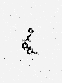 CC1(c2cc(NC(=O)CCn3ccnc3)ccc2F)CCSC(N)=N1